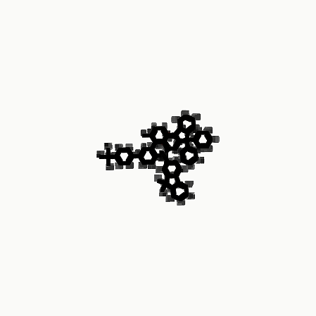 Cc1ccccc1-c1cc(-c2ccc(C(C)(C)C)cc2)ccc1N(c1ccc2c(c1)C(C)(C)c1ccccc1-2)c1ccc2c(c1)C(c1ccccc1)(c1ccccc1)c1ccccc1-2